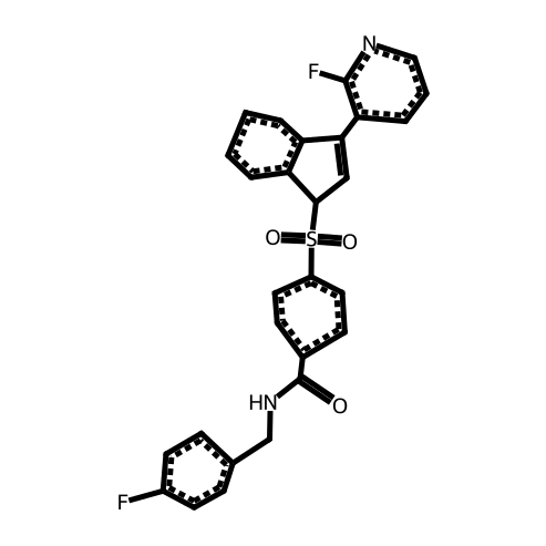 O=C(NCc1ccc(F)cc1)c1ccc(S(=O)(=O)C2C=C(c3cccnc3F)c3ccccc32)cc1